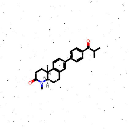 CC(C)C(=O)c1ccc(-c2ccc3c(c2)CC[C@H]2N(C)C(=O)CC[C@]32C)cc1